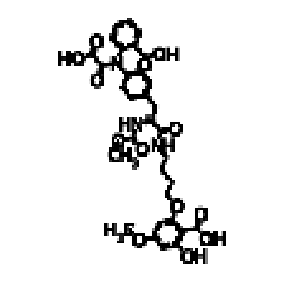 COC(=O)N[C@@H](Cc1ccc(N(C(=O)C(=O)O)c2ccccc2C(=O)O)cc1)C(=O)NCCCCOc1cc(OC)cc(O)c1C(=O)O